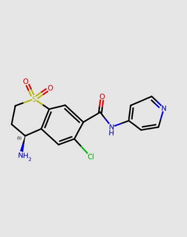 N[C@H]1CCS(=O)(=O)c2cc(C(=O)Nc3ccncc3)c(Cl)cc21